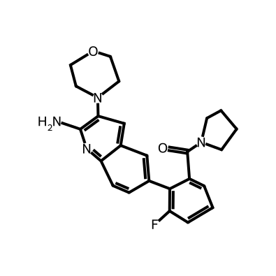 Nc1nc2ccc(-c3c(F)cccc3C(=O)N3CCCC3)cc2cc1N1CCOCC1